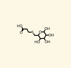 O=C(O)CCSCC1OC(O)C(O)C(O)C1O